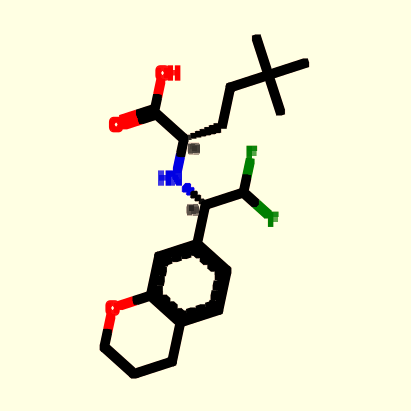 CC(C)(C)CC[C@H](N[C@@H](c1ccc2c(c1)OCCC2)C(F)F)C(=O)O